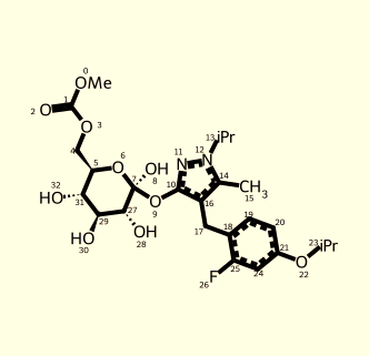 COC(=O)OC[C@H]1O[C@@](O)(Oc2nn(C(C)C)c(C)c2Cc2ccc(OC(C)C)cc2F)[C@H](O)[C@@H](O)[C@@H]1O